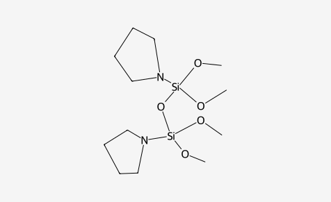 CO[Si](OC)(O[Si](OC)(OC)N1CCCC1)N1CCCC1